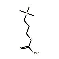 COC(=S)OCCC[Si](C)(C)F